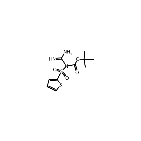 CC(C)(C)OC(=O)N(C(=N)N)S(=O)(=O)c1cccs1